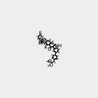 COC(Cc1ccc(-c2ccc3[nH]cc(C(=O)c4c(F)ccc(NS(=O)(=O)N5CC[C@@H](F)C5)c4F)c3c2)cc1)OC